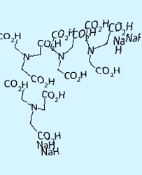 O=C(O)CN(CC(=O)O)CC(=O)O.O=C(O)CN(CC(=O)O)CC(=O)O.O=C(O)CN(CC(=O)O)CC(=O)O.O=C(O)CN(CC(=O)O)CC(=O)O.[NaH].[NaH].[NaH].[NaH]